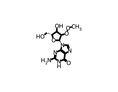 COOC1C(O)[C@@H](CO)O[C@H]1n1cnc2c(=O)[nH]c(N)nc21